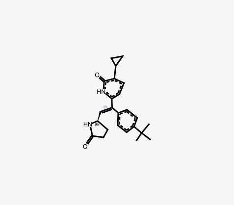 CC(C)(C)c1ccc(/C(=C\[C@H]2CCC(=O)N2)c2ccc(C3CC3)c(=O)[nH]2)cc1